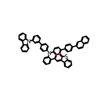 c1cc(-c2ccc(N(c3ccc(-c4ccc(-c5ccc6ccccc6c5)cc4)cc3)c3ccccc3-c3ccc4sc5ccccc5c4c3)cc2)cc(-n2c3ccccc3c3ccccc32)c1